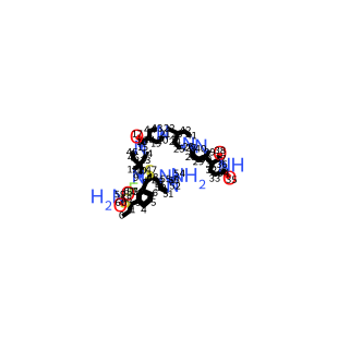 CCC(c1cccc(-c2nc(C3(C)CCN(C(=O)C4CCN(CC5CCN(c6ccc(C7CCC(=O)NC7=O)cn6)CC5)CC4)CC3)sc2-c2ccnc(N)n2)c1F)S(N)(=O)=O